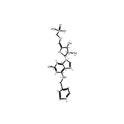 O=P(O)(O)COC=C1O[C@@H](n2cnc3c(NCc4ccncc4)nc(Cl)nc32)[C@H](O)[C@@H]1O